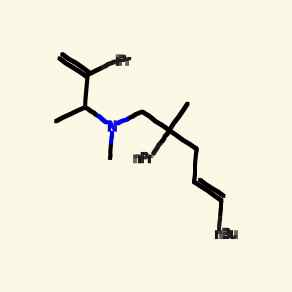 C=C(C(C)C)C(C)N(C)CC(C)(CC=CCCCC)CCC